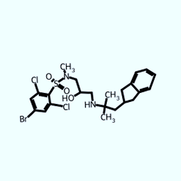 CN(CC(O)CNC(C)(C)CC1Cc2ccccc2C1)S(=O)(=O)c1c(Cl)cc(Br)cc1Cl